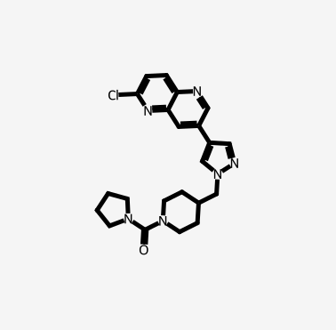 O=C(N1CCCC1)N1CCC(Cn2cc(-c3cnc4ccc(Cl)nc4c3)cn2)CC1